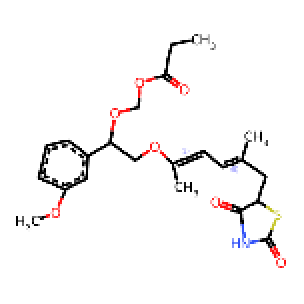 CCC(=O)OCOC(CO/C(C)=C/C=C(\C)CC1SC(=O)NC1=O)c1cccc(OC)c1